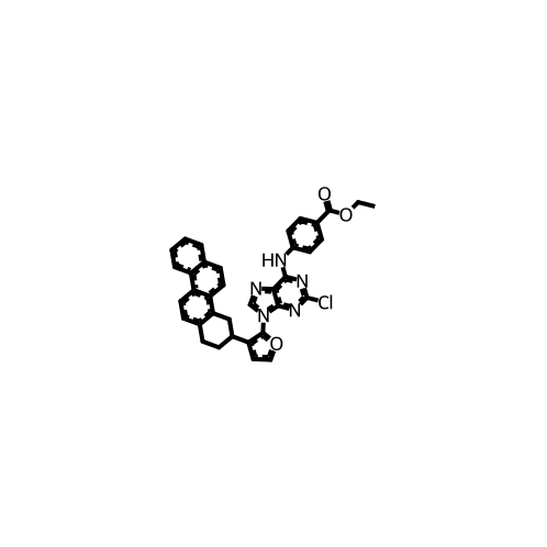 CCOC(=O)c1ccc(Nc2nc(Cl)nc3c2ncn3-c2occc2C2CCc3ccc4c(ccc5ccccc54)c3C2)cc1